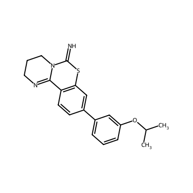 CC(C)Oc1cccc(-c2ccc3c(c2)SC(=N)N2CCCN=C32)c1